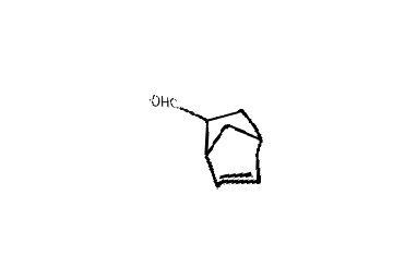 O=[C]C1CC2C=CC1C2